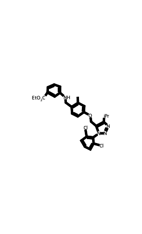 CCOC(=O)c1cccc(NCc2ccc(OCc3c(C(C)C)nnn3-c3c(Cl)cccc3Cl)cc2C)c1